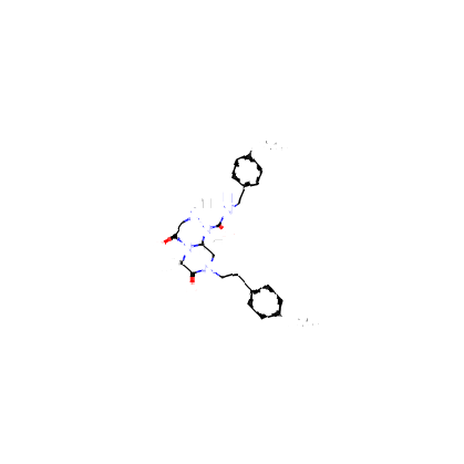 COc1ccc(CCN2C[C@H]3N(C(=O)CN(C)N3C(=O)NCc3ccc(OC)cc3)[C@@H](C(C)C)C2=O)cc1